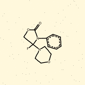 O=C1OCC(F)(N2CCOCC2)N1c1ccccc1